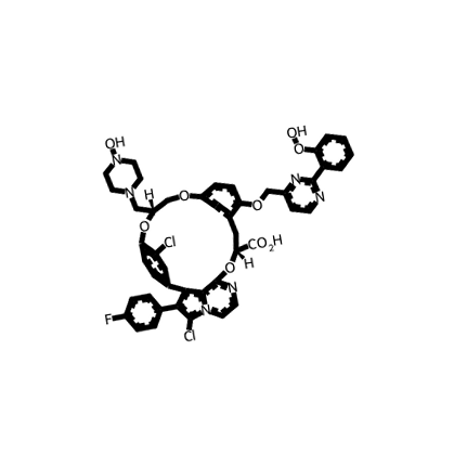 O=C(O)[C@H]1Cc2cc(ccc2OCc2ccnc(-c3ccccc3OO)n2)OC[C@@H](CN2CCN(O)CC2)Oc2ccc(cc2Cl)-c2c(-c3ccc(F)cc3)c(Cl)n3ccnc(c23)O1